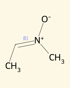 C/C=[N+](\C)[O-]